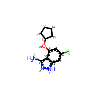 Nc1n[nH]c2cc(Br)cc(OC3CCCC3)c12